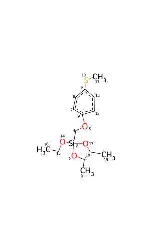 CCO[Si](COc1ccc(SC)cc1)(OCC)OCC